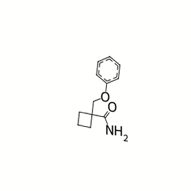 NC(=O)C1(COc2ccccc2)CCC1